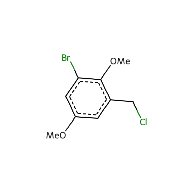 COc1cc(Br)c(OC)c(CCl)c1